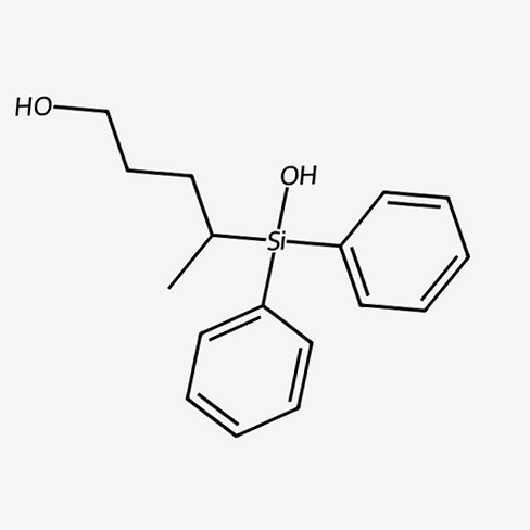 CC(CCCO)[Si](O)(c1ccccc1)c1ccccc1